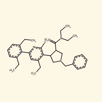 CCc1cccc(CC)c1-c1cc(CC)c(C2CN(Cc3ccccc3)CC2C(=O)N(CC)CC)c(C)n1